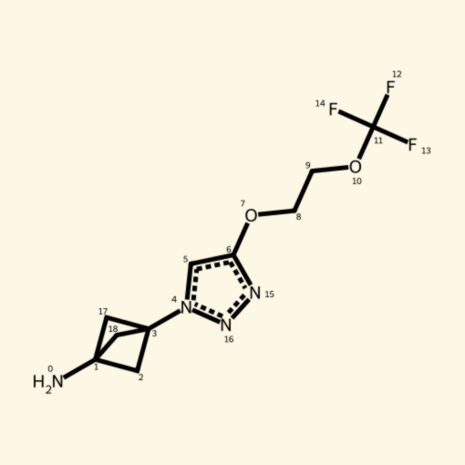 NC12CC(n3cc(OCCOC(F)(F)F)nn3)(C1)C2